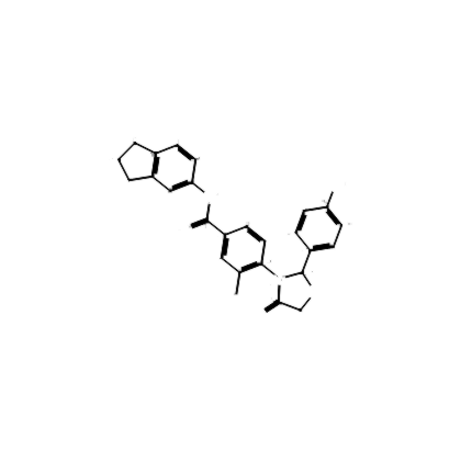 Cc1cc(C(=O)Oc2ccc3c(c2)CCC3)ccc1N1C(=O)CSC1c1ccc(F)cc1